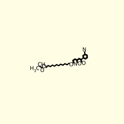 CC(C)C(=O)OCCCCCCCCCCCCOc1ccc2cc(-c3cccc(C#N)c3)c(=O)oc2n1